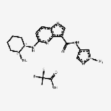 Cn1cc(NC(=O)c2cnn3ccc(N[C@@H]4CCCC[C@@H]4N)nc23)cn1.O=C(O)C(F)(F)F